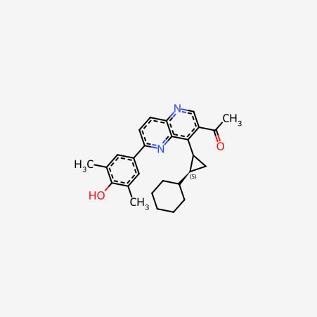 CC(=O)c1cnc2ccc(-c3cc(C)c(O)c(C)c3)nc2c1C1C[C@H]1C1CCCCC1